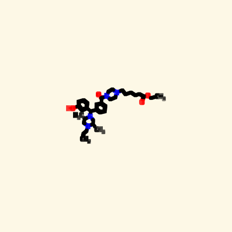 C=CCN1C[C@H](C)N([C@@H](c2cccc(O)c2)c2cccc(C(=O)N3CCN(CCCCCC(=O)OCC)CC3)c2)C[C@H]1C